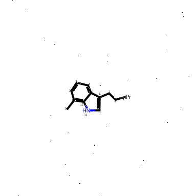 Cc1cccc2c(CCC(C)C)c[nH]c12